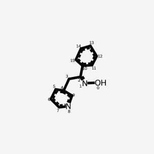 ON=C(Cc1cccnc1)c1ccccc1